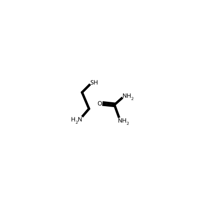 NC(N)=O.NCCS